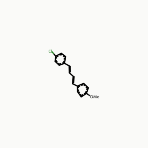 COc1ccc(/C=C/C=C/c2ccc(Cl)cc2)cc1